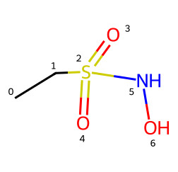 CCS(=O)(=O)NO